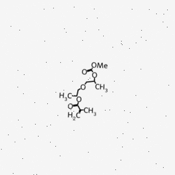 C=C(C)C(=O)OC(C)COCC(C)OC(=O)OC